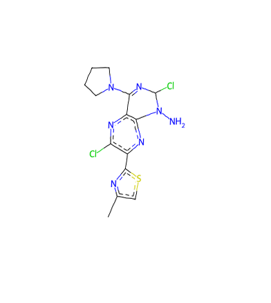 Cc1csc(-c2nc3c(nc2Cl)C(N2CCCC2)=NC(Cl)N3N)n1